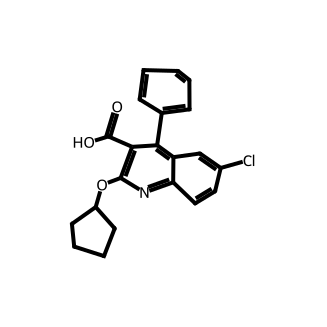 O=C(O)c1c(OC2CCCC2)nc2ccc(Cl)cc2c1-c1ccccc1